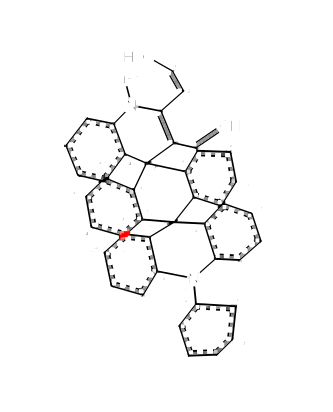 C=CC1=C(/C=C\C)N(C(C)C)c2ccccc2C12c1ccccc1C1(c3ccccc3N(c3ccccc3)c3ccccc31)c1ccccc12